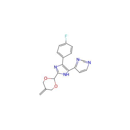 C=C1COC(c2nc(-c3ccc(F)cc3)c(-c3ccn[c]n3)[nH]2)OC1